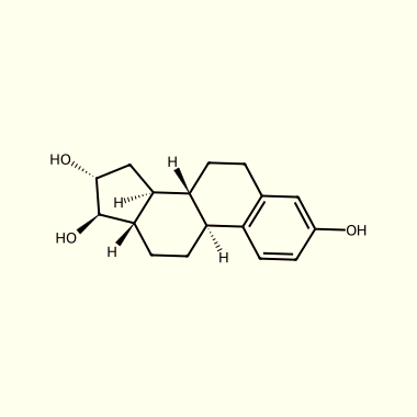 Oc1ccc2c(c1)CC[C@H]1[C@@H]3C[C@@H](O)[C@H](O)[C@H]3CC[C@H]21